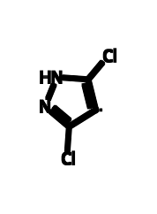 Clc1[c]c(Cl)[nH]n1